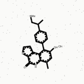 CNCC(C)c1ccc(-c2c(O)cc(C)c3[nH]c(=O)c4sccc4c23)cc1.Cl